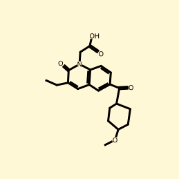 CCc1cc2cc(C(=O)C3CCC(OC)CC3)ccc2n(CC(=O)O)c1=O